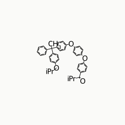 CC(C)Oc1ccc(C(C)(c2ccccc2)c2ccc(Oc3ccc(Oc4ccc(C(=O)C(C)C)cc4)cc3)cc2)cc1